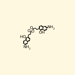 Nc1ccc2c(O)c(CCC(=O)OC(=O)CCc3ccc4cc(N)ccc4c3O)ccc2c1